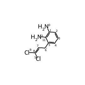 Nc1cccc([CH]C=C(Cl)Cl)c1N